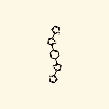 C1=CC(c2ccc(-c3cccs3)s2)=CC[C]1c1ccc(-c2cccs2)s1